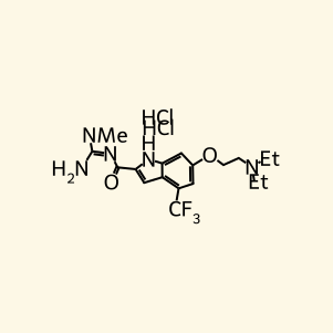 CCN(CC)CCOc1cc(C(F)(F)F)c2cc(C(=O)N=C(N)NC)[nH]c2c1.Cl.Cl